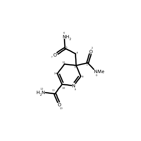 CNC(=O)C1(CC(N)=O)C=NC(C(N)=O)=CC1